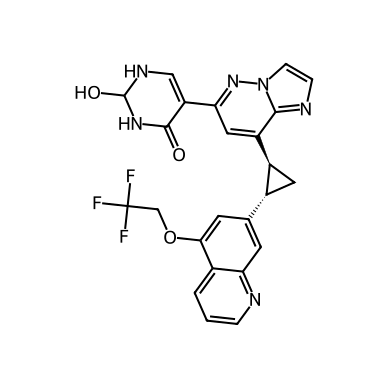 O=C1NC(O)NC=C1c1cc([C@H]2C[C@@H]2c2cc(OCC(F)(F)F)c3cccnc3c2)c2nccn2n1